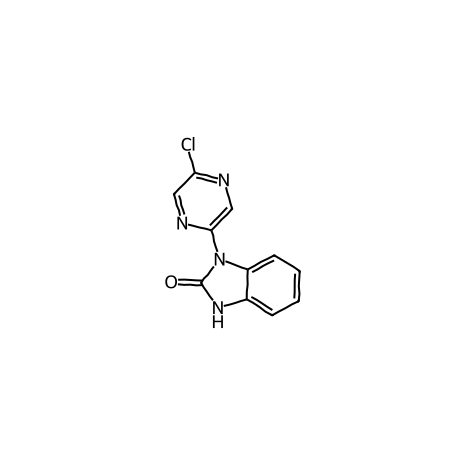 O=c1[nH]c2ccccc2n1-c1cnc(Cl)cn1